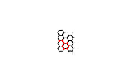 [2H]c1c([2H])c([2H])c2c(-c3cccc4ccccc34)c3c(-c4c(-c5ccccc5)ccc5ccccc45)c([2H])c([2H])c([2H])c3c([2H])c2c1[2H]